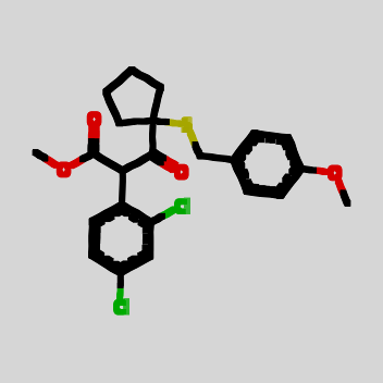 COC(=O)C(C(=O)C1(SCc2ccc(OC)cc2)CCCC1)c1ccc(Cl)cc1Cl